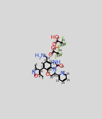 Cc1noc(C)c1-c1cc(CN)c2[nH]c(=O)n3c2c1OC[C@@H]3c1ccccn1.O=C(O)C(F)(F)F.O=C(O)C(F)(F)F